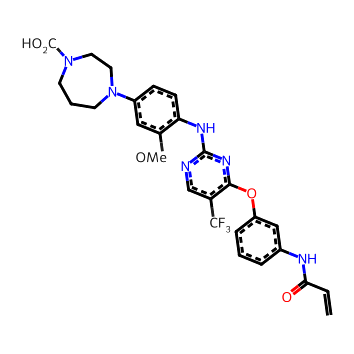 C=CC(=O)Nc1cccc(Oc2nc(Nc3ccc(N4CCCN(C(=O)O)CC4)cc3OC)ncc2C(F)(F)F)c1